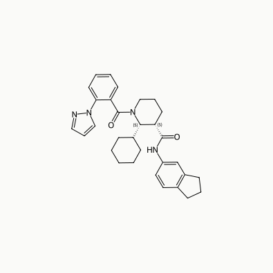 O=C(Nc1ccc2c(c1)CCC2)[C@H]1CCCN(C(=O)c2ccccc2-n2cccn2)[C@H]1C1CCCCC1